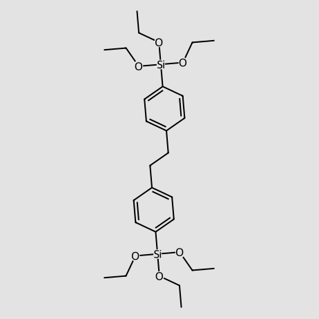 CCO[Si](OCC)(OCC)c1ccc(CCc2ccc([Si](OCC)(OCC)OCC)cc2)cc1